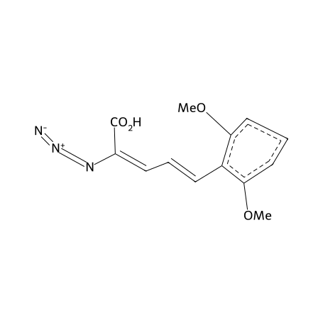 COc1cccc(OC)c1/C=C/C=C(/N=[N+]=[N-])C(=O)O